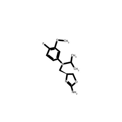 COc1cc(N(C[C@H]2COC(N)=N2)C(C)C)ccc1F